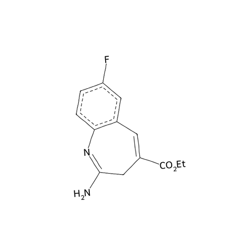 CCOC(=O)C1=Cc2cc(F)ccc2N=C(N)C1